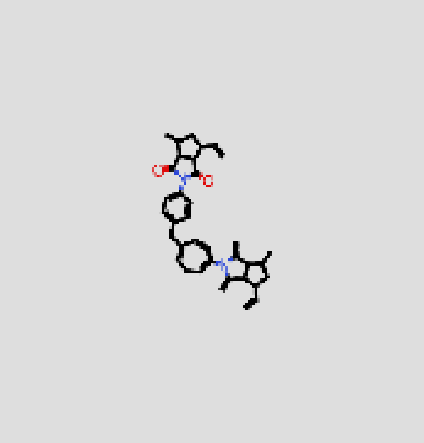 C=CC1CC(C)C2C(=C)N(C3=CCC=C(Cc4ccc(N5C(=O)C6C(C)CC(C=C)C6C5=O)cc4)C=C3)C(=C)C12